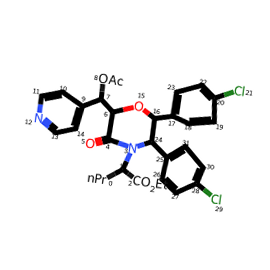 CCCC(C(=O)OCC)N1C(=O)C(C(OC(C)=O)c2ccncc2)OC(c2ccc(Cl)cc2)C1c1ccc(Cl)cc1